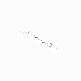 Cn1cc[n+](CCCCCCCCCOC=O)c1